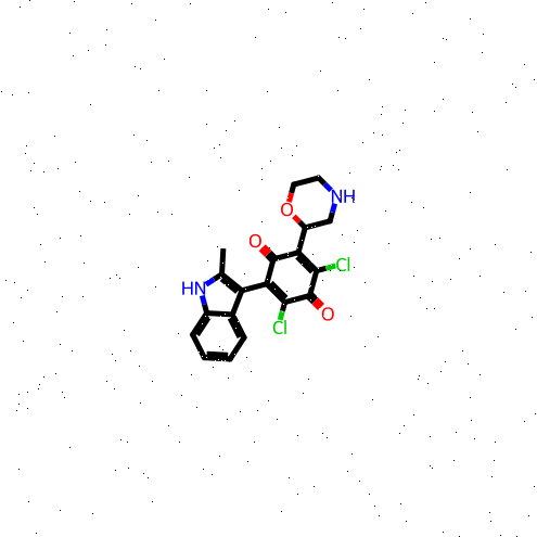 Cc1[nH]c2ccccc2c1C1=C(Cl)C(=O)C(Cl)=C(C2CNCCO2)C1=O